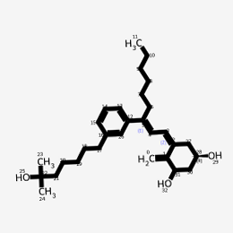 C=C1/C(=C\C=C(/CCCCCC)c2cccc(CCCCCC(C)(C)O)c2)C[C@@H](O)CC1O